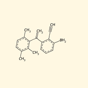 Bc1cccc(C(=C)c2c(C)ccc(C)c2C)c1C#C